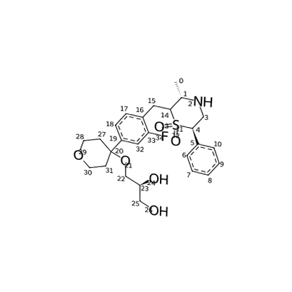 C[C@@H]1NC[C@@H](c2ccccc2)S(=O)(=O)C1Cc1ccc(C2(OC[C@@H](O)CO)CCOCC2)cc1F